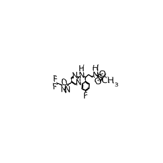 CS(=O)(=O)NCCC(Nc1ncc(-c2nnc(C(F)F)o2)cn1)c1ccc(F)cc1